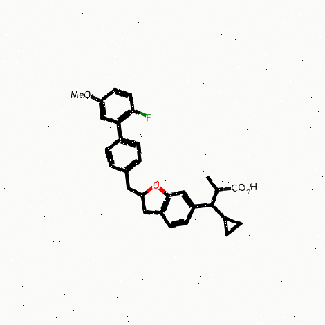 COc1ccc(F)c(-c2ccc(CC3Cc4ccc(C(C5CC5)C(C)C(=O)O)cc4O3)cc2)c1